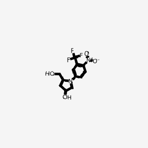 O=[N+]([O-])c1ccc(N2CC(O)CC2CO)cc1C(F)(F)F